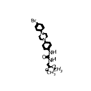 COC(CNC(=O)Nc1ccc(N2CCN(c3ccc(Br)cc3)CC2)cc1)OC